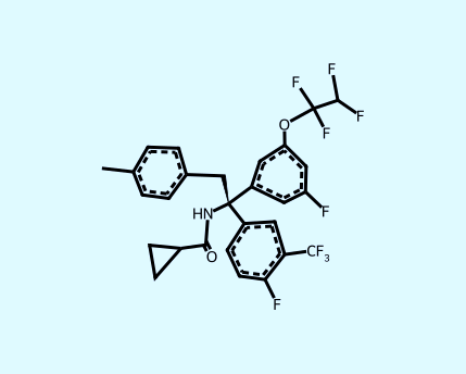 Cc1ccc(C[C@@](NC(=O)C2CC2)(c2cc(F)cc(OC(F)(F)C(F)F)c2)c2ccc(F)c(C(F)(F)F)c2)cc1